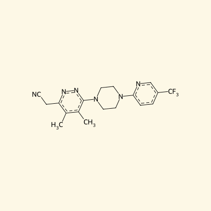 Cc1c(CC#N)nnc(N2CCN(c3ccc(C(F)(F)F)cn3)CC2)c1C